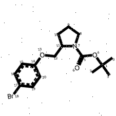 CC(C)(C)OC(=O)N1CCCC1COc1ccc(Br)cc1